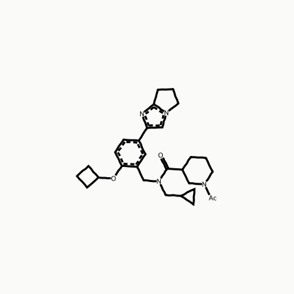 CC(=O)N1CCCC(C(=O)N(Cc2cc(-c3cn4c(n3)CCC4)ccc2OC2CCC2)CC2CC2)C1